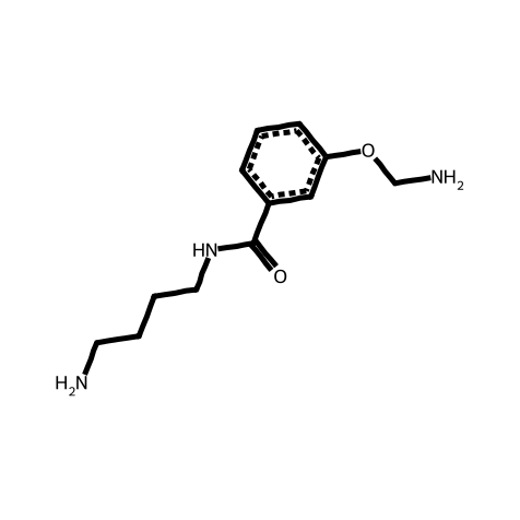 NCCCCNC(=O)c1cccc(OCN)c1